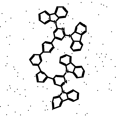 c1cc(-c2ccc(-c3cc(-n4c5ccccc5c5ccccc54)nc(-n4c5ccccc5c5ccccc54)c3)cc2)cc(-c2cccc(-c3cc(-n4c5ccccc5c5ccccc54)nc(-n4c5ccccc5c5ccccc54)c3)c2)c1